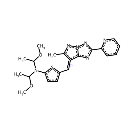 COC(C)N(c1ccc(/C=c2\c(C)nn3nc(-c4ccccn4)nc23)s1)C(C)OC